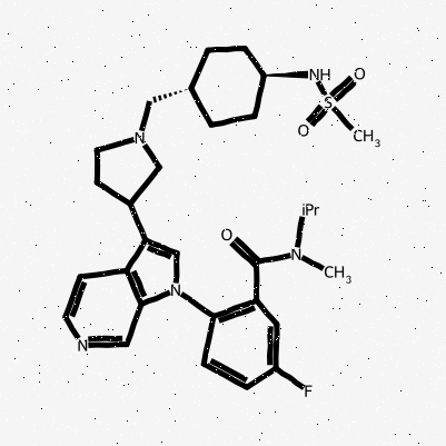 CC(C)N(C)C(=O)c1cc(F)ccc1-n1cc(C2CCN(C[C@H]3CC[C@H](NS(C)(=O)=O)CC3)C2)c2ccncc21